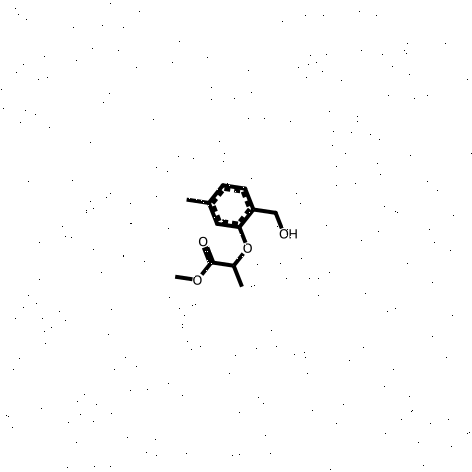 COC(=O)C(C)Oc1cc(C)ccc1CO